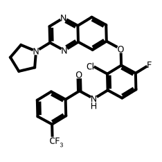 O=C(Nc1ccc(F)c(Oc2ccc3ncc(N4CCCC4)nc3c2)c1Cl)c1cccc(C(F)(F)F)c1